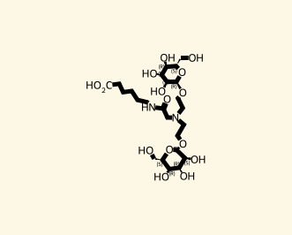 O=C(O)CCCCCNC(=O)CN(CCO[C@@H]1O[C@@H](CO)[C@H](O)[C@@H](O)[C@@H]1O)CCO[C@@H]1O[C@@H](CO)[C@H](O)[C@@H](O)[C@@H]1O